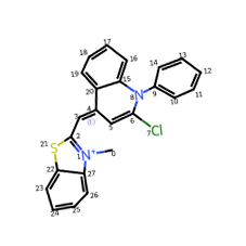 C[n+]1c(/C=C2\C=C(Cl)N(c3ccccc3)c3ccccc32)sc2ccccc21